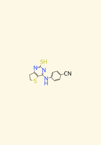 N#Cc1ccc(Nc2nc(S)nc3c2SCC3)cc1